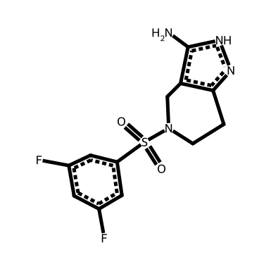 Nc1[nH]nc2c1CN(S(=O)(=O)c1cc(F)cc(F)c1)CC2